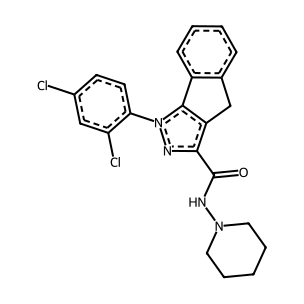 O=C(NN1CCCCC1)c1nn(-c2ccc(Cl)cc2Cl)c2c1Cc1ccccc1-2